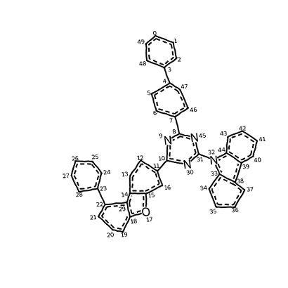 c1ccc(-c2ccc(-c3nc(-c4ccc5c(c4)oc4cccc(-c6ccccc6)c45)nc(-n4c5ccccc5c5ccccc54)n3)cc2)cc1